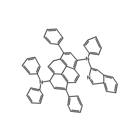 C1=C(c2ccccc2)c2ccc3c(N(c4ccccc4)c4cc5ccccc5cn4)cc(-c4ccccc4)c4c3c2C(=CC4)C1N(c1ccccc1)c1ccccc1